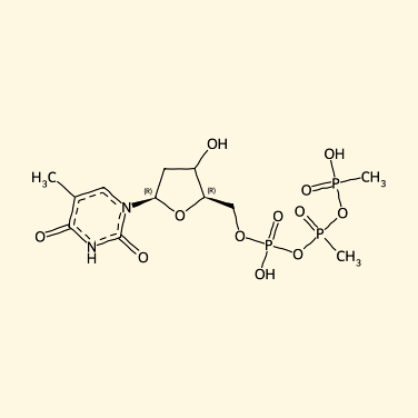 Cc1cn([C@H]2CC(O)[C@@H](COP(=O)(O)OP(C)(=O)OP(C)(=O)O)O2)c(=O)[nH]c1=O